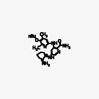 CCCCOc1c(C)cc(Nc2cc(N[C@@H]3CCCC[C@@H]3N)cnc2C(N)=O)nc1C